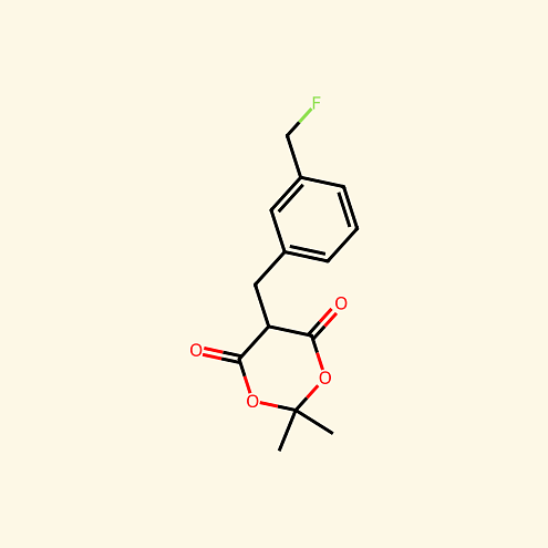 CC1(C)OC(=O)C(Cc2cccc(CF)c2)C(=O)O1